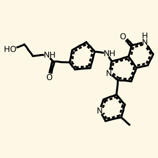 Cc1cncc(-c2cc3cc[nH]c(=O)c3c(Nc3ccc(C(=O)NCCO)cc3)n2)c1